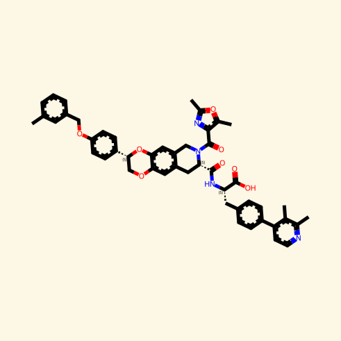 Cc1cccc(COc2ccc([C@H]3COc4cc5c(cc4O3)CN(C(=O)c3nc(C)oc3C)[C@H](C(=O)N[C@@H](Cc3ccc(-c4ccnc(C)c4C)cc3)C(=O)O)C5)cc2)c1